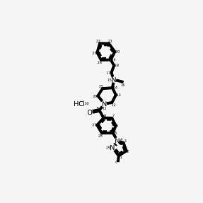 Cc1ccn(-c2ccc(C(=O)N3CCC(N(C)CCc4ccccc4)CC3)cc2)n1.Cl